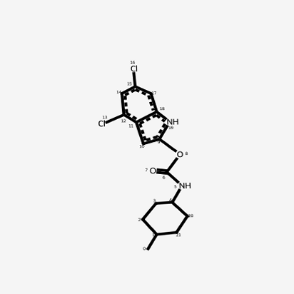 CC1CCC(NC(=O)Oc2cc3c(Cl)cc(Cl)cc3[nH]2)CC1